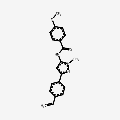 C=Cc1ccc(-c2cc(NC(=O)c3ccc(OC(F)(F)F)cc3)n(C)n2)cc1